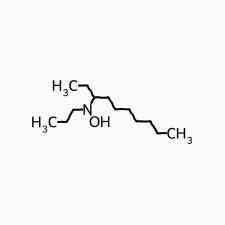 CCCCCCCC(CC)N(O)CCC